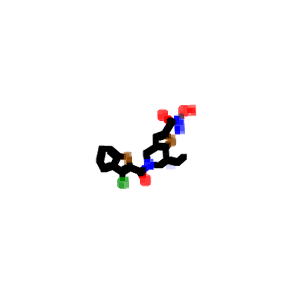 C/C=C1/CN(C(=O)c2sc3ccccc3c2Cl)Cc2cc(C(=O)NO)sc21